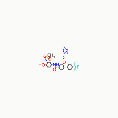 CS(=O)(=O)Nc1cc(NC(=O)c2ccc(-c3ccc(C(F)(F)F)cc3)c(OCCCn3cncn3)c2)ccc1O